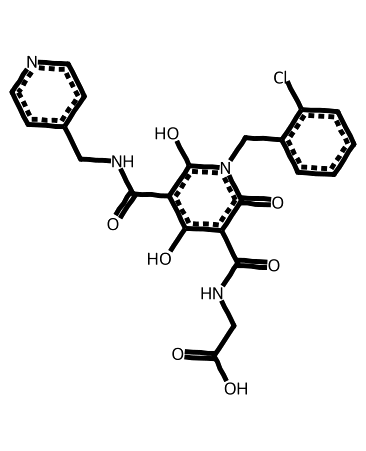 O=C(O)CNC(=O)c1c(O)c(C(=O)NCc2ccncc2)c(O)n(Cc2ccccc2Cl)c1=O